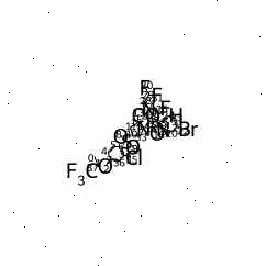 C[C@H](Oc1ccc(S(=O)(=O)[C@@H]2C[C@@H](C(=O)O)N(C(=O)C3(c4ncc(Br)cc4F)CN(CC(F)F)C3)C2)c(Cl)c1)C(F)(F)F